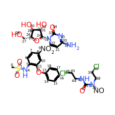 CS(=O)(=O)Nc1ccc([N+](=O)[O-])cc1Oc1ccccc1.Nc1ccn([C@@H]2O[C@H](CO)[C@@H](O)[C@@H]2O)c(=O)n1.O=NN(CCCl)C(=O)NCCCl